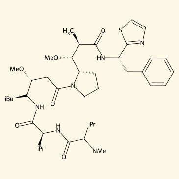 CC[C@H](C)C(NC(=O)[C@@H](NC(=O)C(NC)C(C)C)C(C)C)[C@@H](CC(=O)N1CCC[C@H]1[C@H](OC)[C@@H](C)C(=O)N[C@@H](Cc1ccccc1)c1nccs1)OC